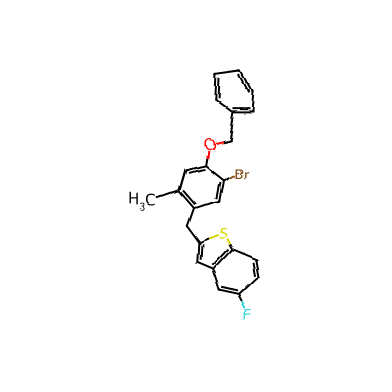 Cc1cc(OCc2ccccc2)c(Br)cc1Cc1cc2cc(F)ccc2s1